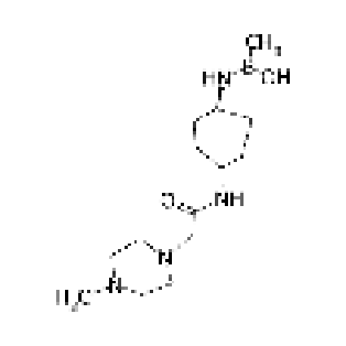 CB(O)N[C@H]1CC[C@H](NC(=O)CN2CCN(C)CC2)CC1